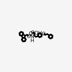 O=C(NC(Cc1ccc(OCCc2ccccc2)cc1)C(=O)O)OCC1c2ccccc2-c2ccccc21